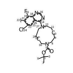 CC(C)(C)OC(=O)N1CCCCCN(c2ncnc3c(F)c(I)c(Cl)cc23)CCCC1